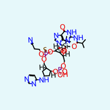 CC(C)C(=O)Nc1nc2c(ncn2[C@@H]2O[C@@H]3COP(=O)(O)O[C@H]4C[C@H](Nc5ccncn5)C[C@@H]4CO[P@@](=S)(OCCC#N)O[C@@H]2[C@@H]3O[Si](C)(C)C(C)(C)C)c(=O)[nH]1